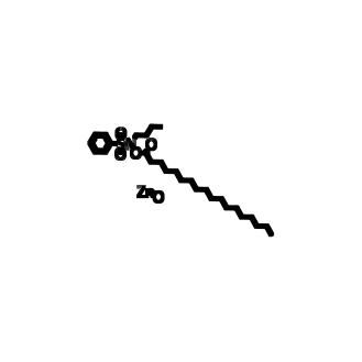 CCCCCCCCCCCCCCCCCC(=O)ON(CCCC)S(=O)(=O)c1ccccc1.[O]=[Zn]